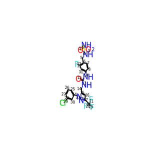 NS(=O)(=O)NCc1ccc(NC(=O)NCc2cc(C(F)(F)F)nn2-c2cccc(Cl)c2)cc1F